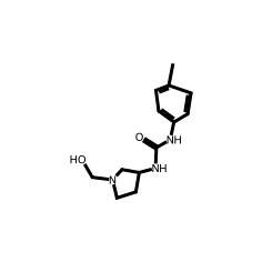 Cc1ccc(NC(=O)NC2CCN(CO)C2)cc1